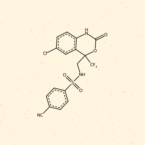 N#Cc1ccc(S(=O)(=O)NCC2(C(F)(F)F)OC(=O)Nc3ccc(Cl)cc32)cc1